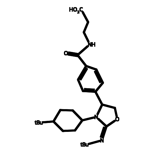 CC(C)(C)N=C1OCC(c2ccc(C(=O)NCCC(=O)O)cc2)N1C1CCC(C(C)(C)C)CC1